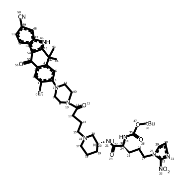 CCc1cc2c(cc1N1CCN(C(=O)CCCN3CCC[C@@H](NC(=O)[C@H](CCCn4ccnc4[N+](=O)[O-])NC(=O)OC(C)(C)C)C3)CC1)C(C)(C)c1[nH]c3cc(C#N)ccc3c1C2=O